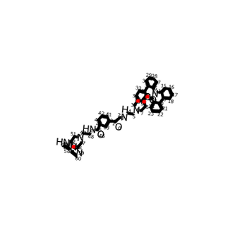 O=C(CNCCN1CCC(OC(=O)N(c2ccccc2-c2ccccc2)c2ccccc2-c2ccccc2)CC1)c1cccc(C(=O)NCCN(Cc2ncc[nH]2)Cc2ncc[nH]2)c1